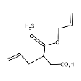 C=CCOC(=O)C(CC=C)CC(=O)O.S